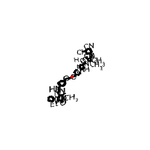 CC[C@@H]1C(=O)N(C)c2cnc(Nc3ccc(OCCOC4CCN(c5ncc(C(=O)NC6C(C)(C)C(Oc7ccc(C#N)c(Cl)c7)C6(C)C)cn5)CC4)cc3)nc2N1C1CCCC1